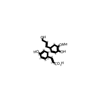 COC1=C(O)C=CC(/C=C/CO)C1.O=C(O)C=CC1C=CC(O)=CC1